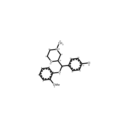 COc1ccccc1OC(c1ccc(Cl)cc1)C1CN(C)CCO1